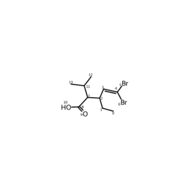 CCC(C=C(Br)Br)C(C(=O)O)C(C)C